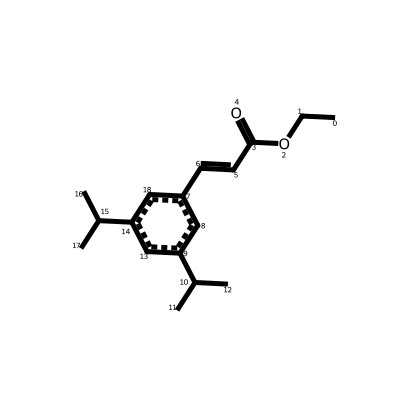 CCOC(=O)/C=C/c1cc(C(C)C)cc(C(C)C)c1